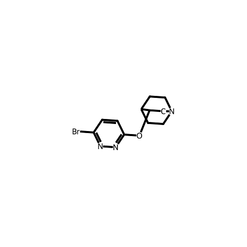 Brc1ccc(OC2CN3CCC2CC3)nn1